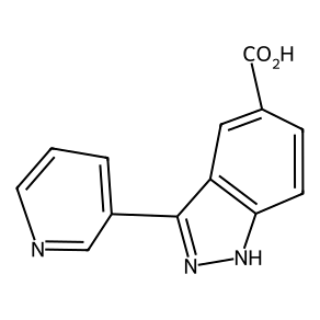 O=C(O)c1ccc2[nH]nc(-c3cccnc3)c2c1